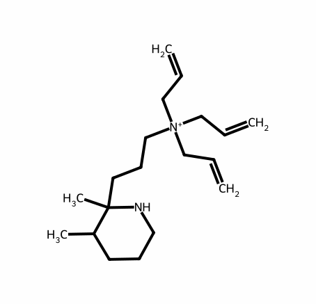 C=CC[N+](CC=C)(CC=C)CCCC1(C)NCCCC1C